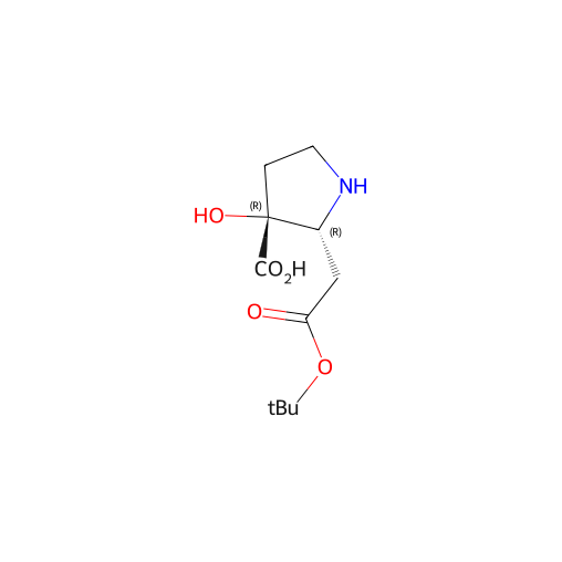 CC(C)(C)OC(=O)C[C@H]1NCC[C@]1(O)C(=O)O